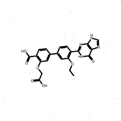 CCOc1cc(-c2ccc(C(=O)O)c(OCC(=O)O)c2)ccc1-c1nc2[nH]cnc2c(=O)[nH]1